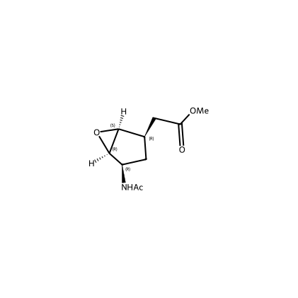 COC(=O)C[C@H]1C[C@@H](NC(C)=O)[C@H]2O[C@@H]12